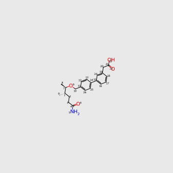 C[C@@H](CCC(N)=O)[C@@H](C)OCc1ccc(-c2cccc(CC(=O)O)c2)cc1